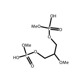 COC(COP(=O)(O)OC)COP(=O)(O)OC